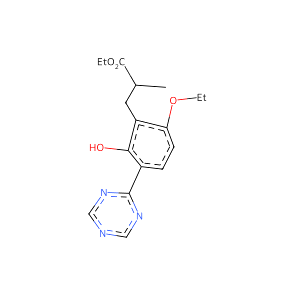 CCOC(=O)C(C)Cc1c(OCC)ccc(-c2ncncn2)c1O